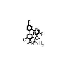 COc1nc(-c2cc(F)ccc2[C@H]2CC(=O)c3c(C)nc(N)nc3C2)ncc1F